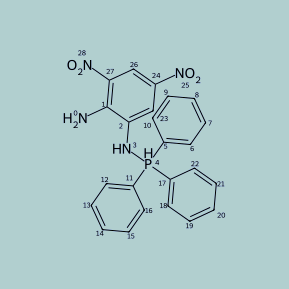 Nc1c(N[PH](c2ccccc2)(c2ccccc2)c2ccccc2)cc([N+](=O)[O-])cc1[N+](=O)[O-]